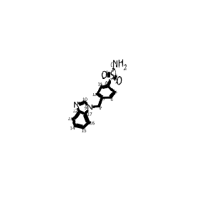 NS(=O)(=O)c1ccc(Cn2cnc3ccccc32)cc1